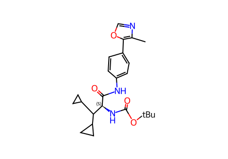 Cc1ncoc1-c1ccc(NC(=O)[C@@H](NC(=O)OC(C)(C)C)C(C2CC2)C2CC2)cc1